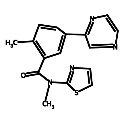 Cc1ccc(-c2cnccn2)cc1C(=O)N(C)c1nccs1